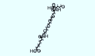 O=[C]CCC(NC(=O)CCOCCOCCOCCOCCNC(=O)CCCCCCC(=O)O)C(=O)O